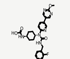 COc1ncc(-c2ccc(N(C(=O)NCc3ccccc3F)[C@H]3CC[C@H](NC(=O)O)CC3)nc2)cn1